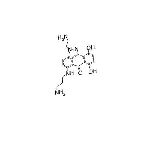 NCCCNc1ccc2c3c(nn2CCN)-c2c(O)ccc(O)c2C(=O)c13